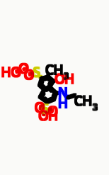 CCCNc1cc(S(=O)(=O)O)cc2cc(SOOO)c(C)c(O)c12